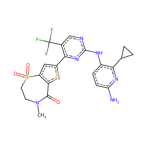 CN1CCS(=O)(=O)c2cc(-c3nc(Nc4ccc(N)nc4C4CC4)ncc3C(F)(F)F)sc2C1=O